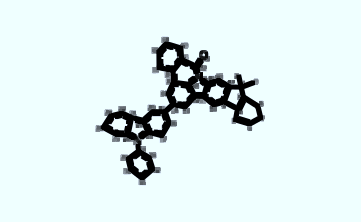 CC1(C)C2=C(C=CCC2)c2cc3c4cc(-c5ccc6c(c5)c5ccccc5n6-c5ccccc5)cc5c6ccccc6c(=O)n(c3cc21)c54